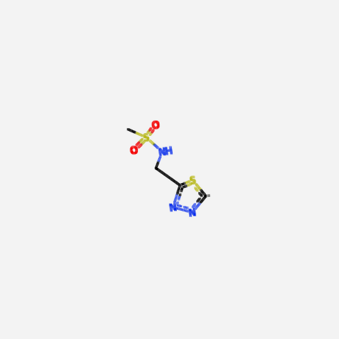 CS(=O)(=O)NCc1nn[c]s1